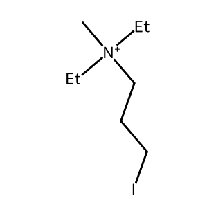 CC[N+](C)(CC)CCCI